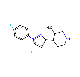 CC1CNCCC1c1ccn(-c2ccc(F)cc2)n1.Cl